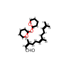 C1CCC(OC2CCCCO2)OC1.CC(C)=CCCC(C)=CCCC(C)=CC=O